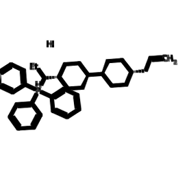 C=CC[C@H]1CC[C@H]([C@H]2CC[C@H](C(CC)[PH](c3ccccc3)(c3ccccc3)c3ccccc3)CC2)CC1.I